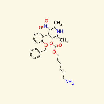 CC1=C(OC(=O)OCCCCCCN)C(c2ccccc2OCc2ccccc2)C([N+](=O)[O-])=C(C)N1